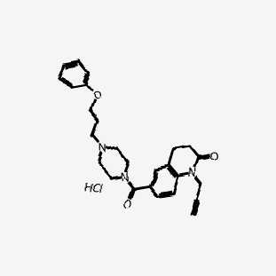 C#CCN1C(=O)CCc2cc(C(=O)N3CCN(CCCOc4ccccc4)CC3)ccc21.Cl